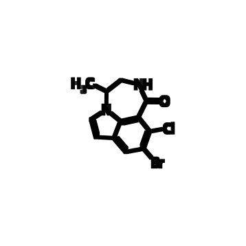 CC1CNC(=O)c2c(Cl)c(Br)cc3ccn1c23